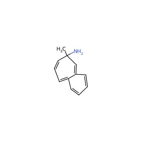 CC1(N)C=CC=c2ccccc2=C1